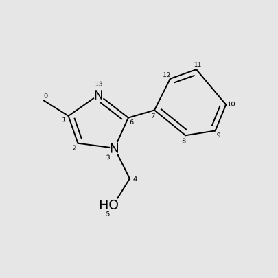 Cc1cn(CO)c(-c2ccccc2)n1